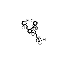 O=c1[nH]nc(CCC2CN(S(=O)(=O)c3cccc(C(F)(F)F)c3)c3cc(C=Cc4ncccc4Cl)ccc3O2)o1